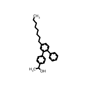 CCCCCCCCc1ccc(-c2ccccc2)c(-c2ccc(C(C)O)cc2)c1